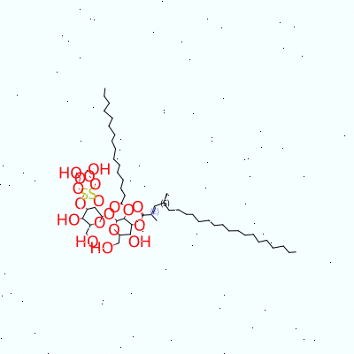 CCCCCCCCCCCCCCCCCC[C@H](C)/C=C(\C)C(=O)OC1C(O)C(CO)OC(OC2OC(CO)C(O)C(OSOOO)C2OSOOO)C1OC(=O)CCCCCCCCCCCCCCC